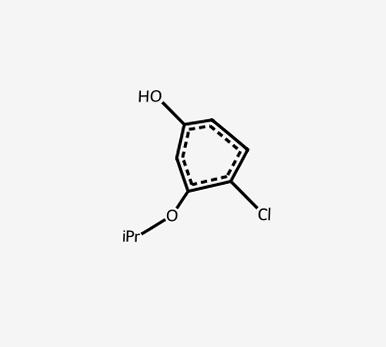 CC(C)Oc1cc(O)ccc1Cl